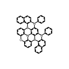 c1ccc(N2c3cc4c5c6c3B(c3cccc7c3N6c3c(cccc3B5c3c(ccc5ccccc35)N4c3ccccc3)O7)c3c2ccc2ccccc32)cc1